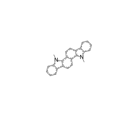 Cn1c2ccccc2c2ccc3c(ccc4c5ccccc5n(C)c43)c21